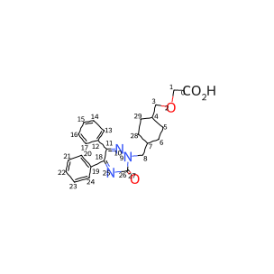 O=C(O)COCC1CCC(Cn2nc(-c3ccccc3)c(-c3ccccc3)nc2=O)CC1